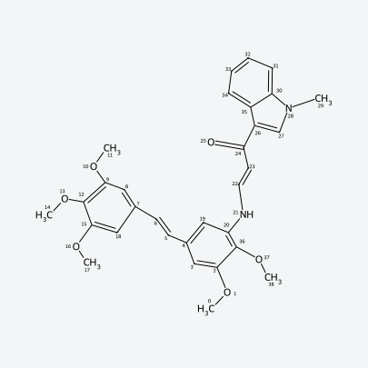 COc1cc(C=Cc2cc(OC)c(OC)c(OC)c2)cc(NC=CC(=O)c2cn(C)c3ccccc23)c1OC